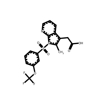 Cc1c(CC(=O)O)c2cccnc2n1S(=O)(=O)c1cccc(OC(F)(F)F)c1